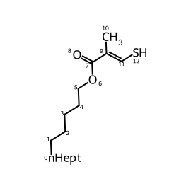 CCCCCCCCCCCCOC(=O)C(C)=CS